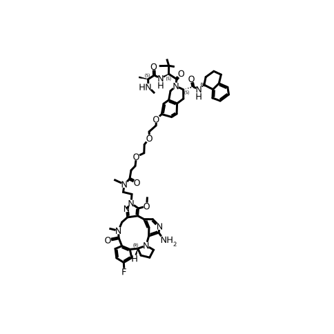 CN[C@@H](C)C(=O)N[C@H](C(=O)N1Cc2cc(OCCOCCOCCC(=O)N(C)CCn3nc4c(c3OC)-c3cnc(N)c(c3)N3CCC[C@@H]3c3cc(F)ccc3C(=O)N(C)C4)ccc2C[C@H]1C(=O)N[C@@H]1CCCc2ccccc21)C(C)(C)C